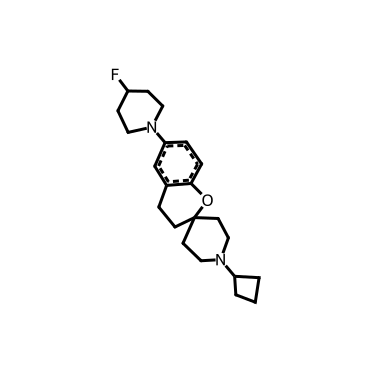 FC1CCN(c2ccc3c(c2)CCC2(CCN(C4CCC4)CC2)O3)CC1